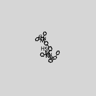 Sc1c(-c2ccc(-c3nc(-c4ccccc4)c4oc5ccccc5c4n3)cc2)cccc1-c1nc(-c2ccccc2)nc(-n2c3ccccc3c3ccc(-c4ccccc4)cc32)n1